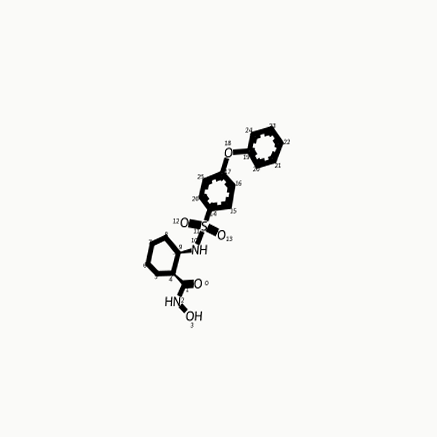 O=C(NO)[C@H]1CCCC[C@H]1NS(=O)(=O)c1ccc(Oc2ccccc2)cc1